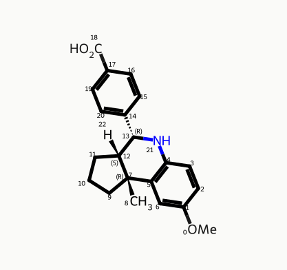 COc1ccc2c(c1)[C@]1(C)CCC[C@@H]1[C@H](c1ccc(C(=O)O)cc1)N2